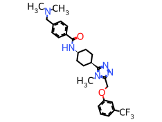 CN(C)Cc1ccc(C(=O)N[C@H]2CC[C@H](c3nnc(COc4cccc(C(F)(F)F)c4)n3C)CC2)cc1